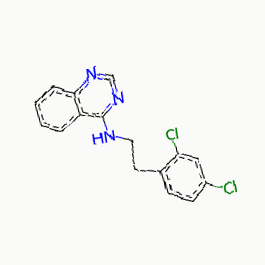 Clc1ccc(CCNc2ncnc3ccccc23)c(Cl)c1